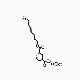 CCCCCCCCOC(=O)C1CCCC(C(=O)OCCCCCCCC(C)C)C1